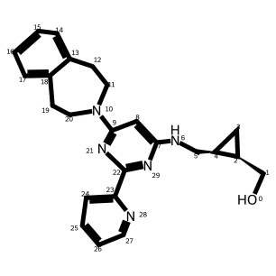 OC[C@@H]1C[C@@H]1CNc1cc(N2CCc3ccccc3CC2)nc(-c2ccccn2)n1